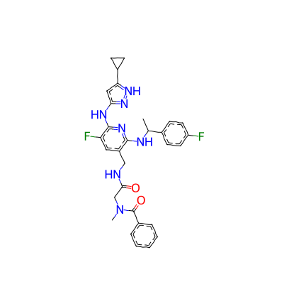 CC(Nc1nc(Nc2cc(C3CC3)[nH]n2)c(F)cc1CNC(=O)CN(C)C(=O)c1ccccc1)c1ccc(F)cc1